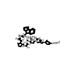 CCCCCc1ccc(-c2cc3cn([C@H]4C[C@@H](OC(=O)C(NC(=O)C5CCCC5C(=O)C(NC(=O)OCC5c6ccccc6-c6ccccc65)C(C)C)C(C)C)[C@@H](CO[Si](C)(C)C(C)(C)C)O4)c(=O)nc3o2)cc1